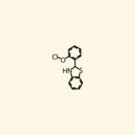 ClOc1ccccc1C1Nc2ccccc2S1